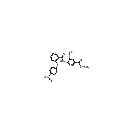 COC(=O)c1ccc(NC(=O)c2ccccc2Sc2ccc([N+](=O)[O-])cc2)c(OC)c1